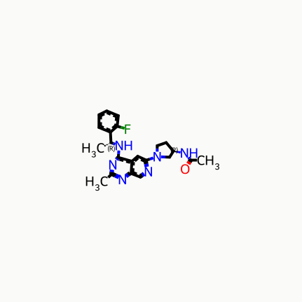 CC(=O)N[C@@H]1CCN(c2cc3c(N[C@H](C)c4ccccc4F)nc(C)nc3cn2)C1